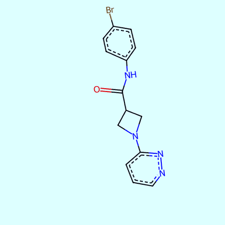 O=C(Nc1ccc(Br)cc1)C1CN(c2cccnn2)C1